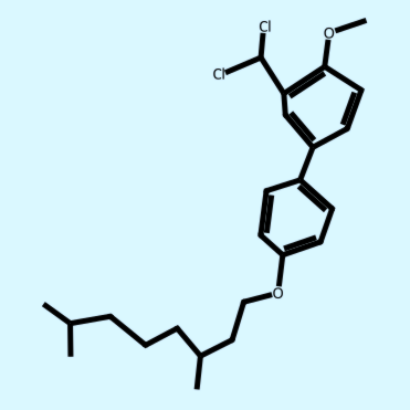 COc1ccc(-c2ccc(OCCC(C)CCCC(C)C)cc2)cc1C(Cl)Cl